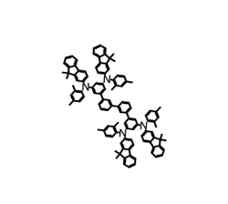 Cc1ccc(N(c2cc(-c3cccc(-c4cccc(-c5cc(N(c6ccc7c(c6)C(C)(C)c6ccccc6-7)c6ccc(C)cc6C)cc(N(c6ccc7c(c6)C(C)(C)c6ccccc6-7)c6ccc(C)cc6C)c5)c4)c3)cc(N(c3ccc4c(c3)C(C)(C)c3ccccc3-4)c3ccc(C)cc3C)c2)c2ccc3c(c2)C(C)(C)c2ccccc2-3)c(C)c1